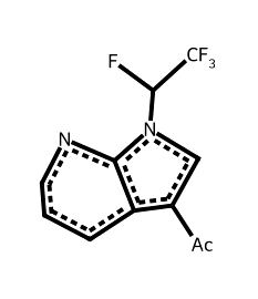 CC(=O)c1cn(C(F)C(F)(F)F)c2ncccc12